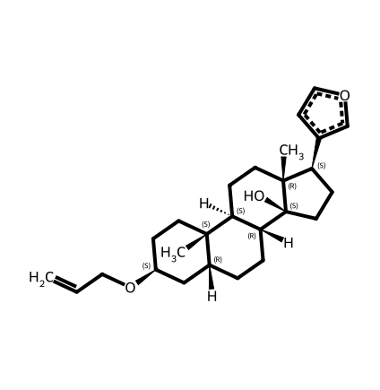 C=CCO[C@H]1CC[C@@]2(C)[C@H](CC[C@@H]3[C@@H]2CC[C@]2(C)[C@@H](c4ccoc4)CC[C@]32O)C1